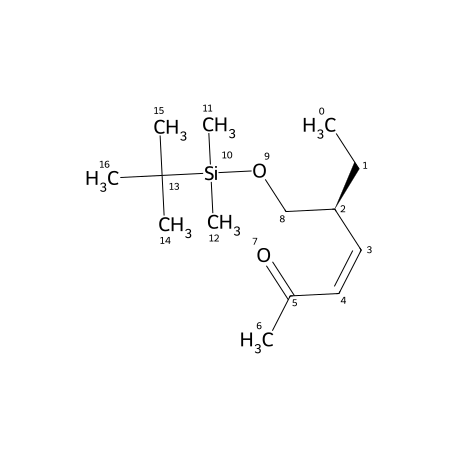 CC[C@@H](/C=C\C(C)=O)CO[Si](C)(C)C(C)(C)C